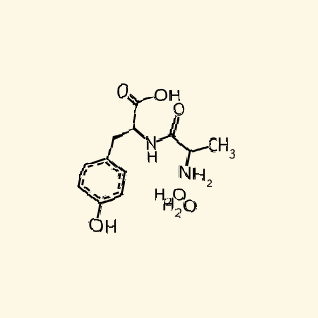 CC(N)C(=O)N[C@@H](Cc1ccc(O)cc1)C(=O)O.O.O